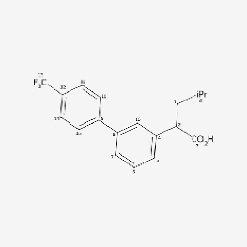 CC(C)CC(C(=O)O)c1cccc(-c2ccc(C(F)(F)F)cc2)c1